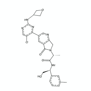 Cc1cccc([C@@H](CO)NC(=O)[C@@H](C)N2Cc3ncc(-c4nc(NC5COC5)ncc4Cl)cc3C2=O)c1